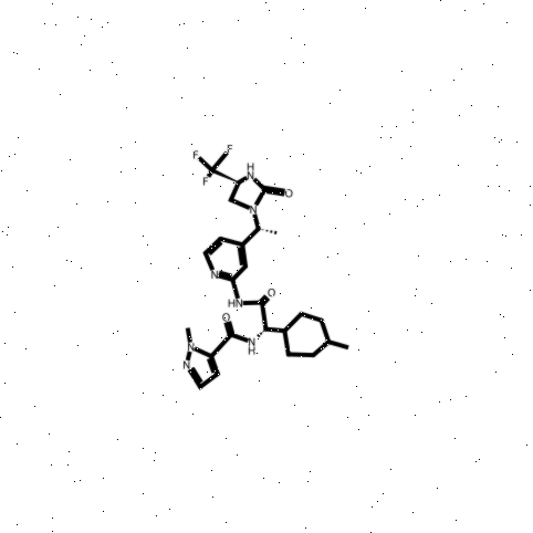 CC1CCC([C@H](NC(=O)c2ccnn2C)C(=O)Nc2cc([C@@H](C)N3C[C@@H](C(F)(F)F)NC3=O)ccn2)CC1